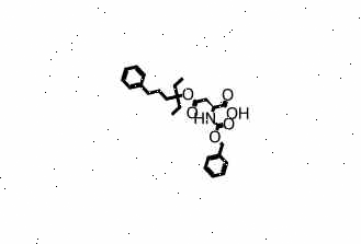 CCC(CC)(CCCc1ccccc1)OC(=O)C[C@H](NC(=O)OCc1ccccc1)C(=O)O